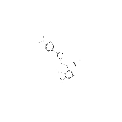 CN(C)c1ccc(-c2nnc([C@@H](N)C(CC(N)=O)c3cc(Cl)cc(S(=O)(=O)O)c3O)o2)cc1